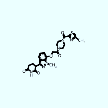 Cc1csc(C(=O)N2CCN(C(=O)COc3cccc4c(C5CCC(=O)NC5=O)nn(C)c34)CC2)n1